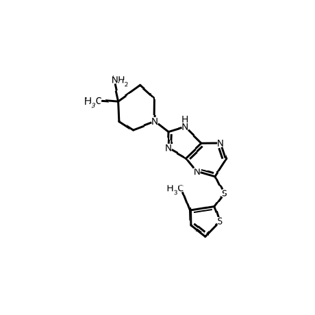 Cc1ccsc1Sc1cnc2[nH]c(N3CCC(C)(N)CC3)nc2n1